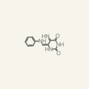 N=C1C(=O)NC(=O)N/C1=C/Nc1ccccc1